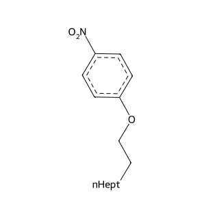 CCCCCCCCCOc1ccc([N+](=O)[O-])cc1